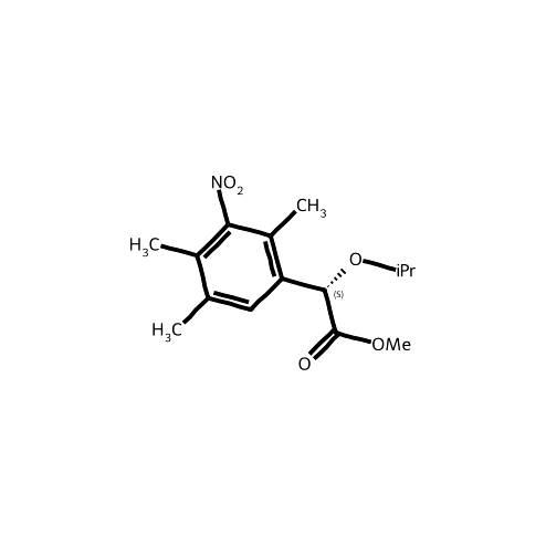 COC(=O)[C@@H](OC(C)C)c1cc(C)c(C)c([N+](=O)[O-])c1C